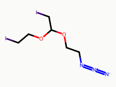 [N-]=[N+]=NCCOC(CI)OCCI